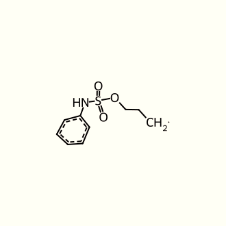 [CH2]CCOS(=O)(=O)Nc1ccccc1